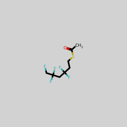 CC(=O)SCCC(F)(F)CC(F)(F)CF